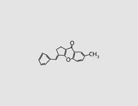 Cc1ccc2oc3c(c(=O)c2c1)CC/C3=C\c1ccccc1